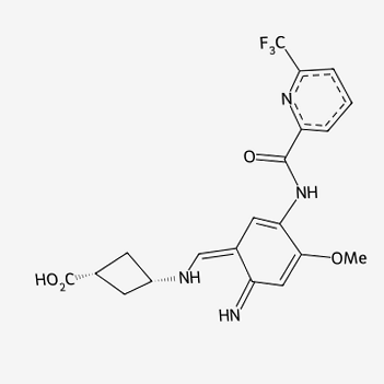 COC1=CC(=N)/C(=C\N[C@H]2C[C@@H](C(=O)O)C2)C=C1NC(=O)c1cccc(C(F)(F)F)n1